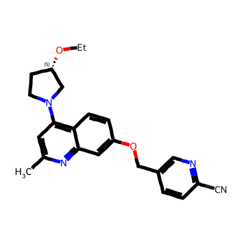 CCO[C@H]1CCN(c2cc(C)nc3cc(OCc4ccc(C#N)nc4)ccc23)C1